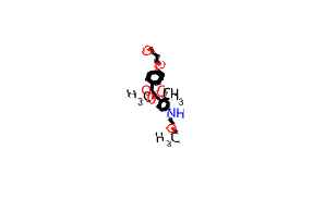 CCOCCNc1ccc(C(OC)(OC)C(=O)c2ccc(OCCC3CO3)cc2)cc1